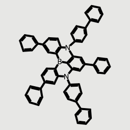 c1ccc(-c2ccc(N3c4ccc(-c5ccccc5)cc4B4c5ccc(-c6ccccc6)cc5N(c5ccc(-c6ccccc6)cc5)c5cc(-c6ccccc6)cc3c54)cc2)cc1